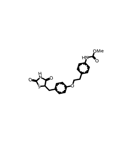 COC(=O)Nc1ccc(CCOc2ccc(CC3SC(=O)NC3=O)cc2)cc1